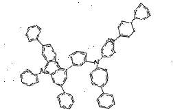 C1=CC(c2ccccc2)CC=C1c1ccc(N(c2ccc(-c3ccccc3)cc2)c2cccc(-c3cc(-c4ccccc4)cc4c3c3ccc(-c5ccccc5)cc3n4-c3ccccc3)c2)cc1